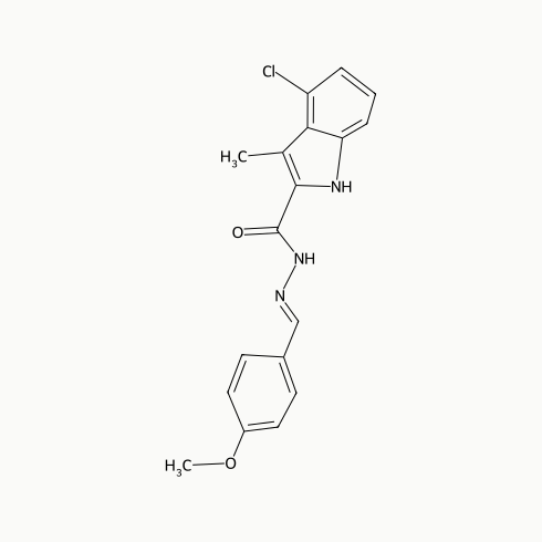 COc1ccc(C=NNC(=O)c2[nH]c3cccc(Cl)c3c2C)cc1